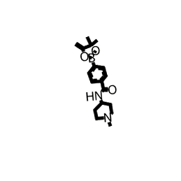 C=C1OB(c2ccc(C(=O)NC3CCN(C)CC3)cc2)OC1(C)C